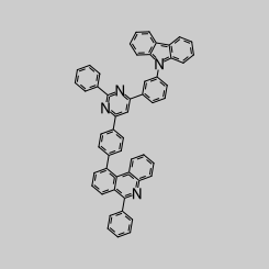 c1ccc(-c2nc(-c3ccc(-c4cccc5c(-c6ccccc6)nc6ccccc6c45)cc3)cc(-c3cccc(-n4c5ccccc5c5ccccc54)c3)n2)cc1